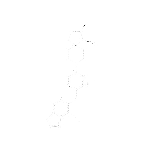 C[C@@H]1OCC2(CCN(c3cnc(Sc4ccn5ccnc5c4Cl)cn3)CC2)[C@@H]1N.Cl